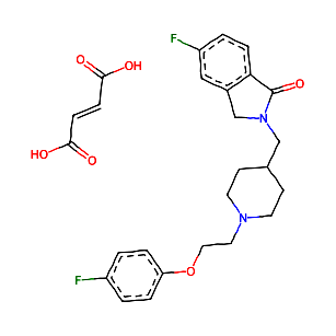 O=C(O)/C=C/C(=O)O.O=C1c2ccc(F)cc2CN1CC1CCN(CCOc2ccc(F)cc2)CC1